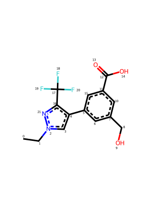 CCn1cc(-c2cc(CO)cc(C(=O)O)c2)c(C(F)(F)F)n1